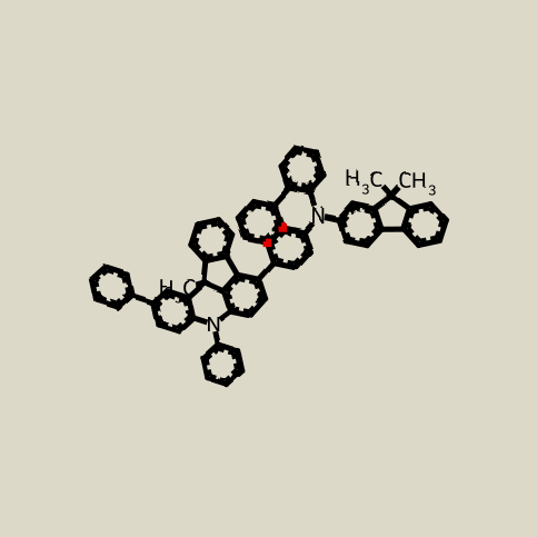 CC1(C)c2ccccc2-c2ccc(N(c3ccc(-c4ccc5c6c4-c4ccccc4C6(C)c4cc(-c6ccccc6)ccc4N5c4ccccc4)cc3)c3ccccc3-c3ccccc3)cc21